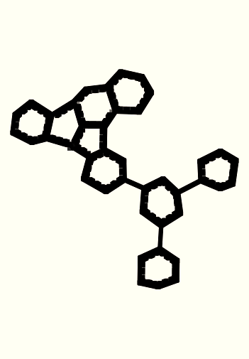 c1ccc(-c2cc(-c3ccccc3)cc(-c3ccc4c(c3)c3c5ccccc5cc5c6ccccc6n4c53)c2)cc1